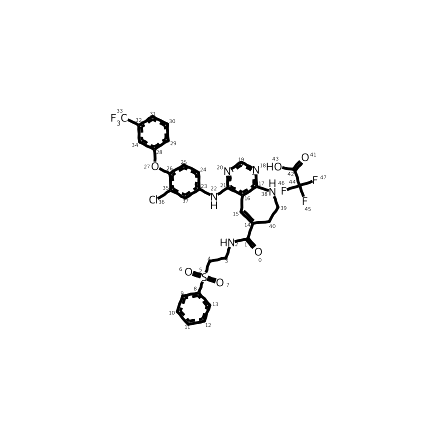 O=C(NCCS(=O)(=O)c1ccccc1)C1=Cc2c(ncnc2Nc2ccc(Oc3cccc(C(F)(F)F)c3)c(Cl)c2)NCC1.O=C(O)C(F)(F)F